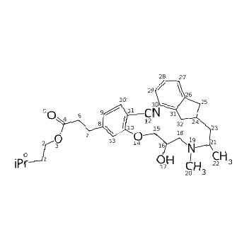 CC(C)CCOC(=O)CCc1ccc(C#N)c(OCC(O)CN(C)C(C)CC2Cc3ccccc3C2)c1